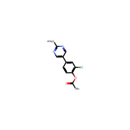 CCCCCCCc1ncc(-c2ccc(OC(=O)CCCC)c(Cl)c2)cn1